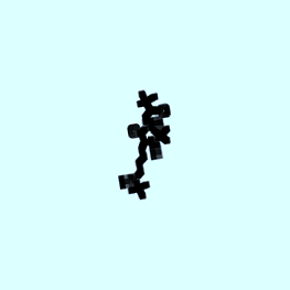 CC(C)(C)NCCCCC(NC(C)(C)C)C(=O)NCC(=O)C(C)(C)C